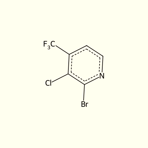 FC(F)(F)c1ccnc(Br)c1Cl